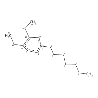 CCCCCCC[n+]1ccc(CC)c(CC)c1